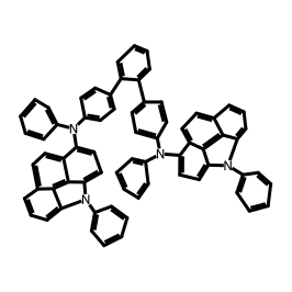 c1ccc(N(c2ccc(-c3ccccc3-c3ccc(N(c4ccccc4)c4ccc5c6c4ccc4cccc(c46)n5-c4ccccc4)cc3)cc2)c2ccc3c4c2ccc2cccc(c24)n3-c2ccccc2)cc1